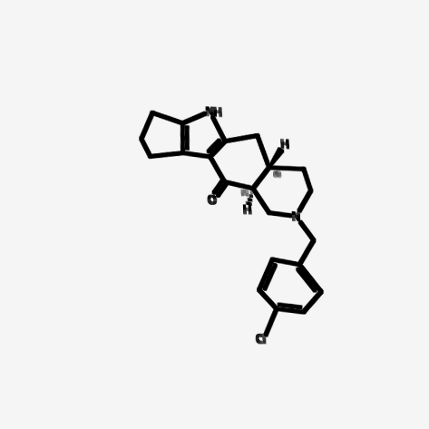 O=C1c2c([nH]c3c2CCC3)C[C@@H]2CCN(Cc3ccc(Cl)cc3)C[C@@H]12